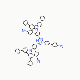 N#Cc1ccc(-c2ccc(-c3nc(-c4ccc(-n5c6ccc(-c7ccccc7)cc6c6cc(-c7ccccc7)ccc65)c(-c5ccc(C#N)cc5)c4)nc(-c4ccc(-n5c6ccc(-c7ccccc7)cc6c6cc(-c7ccccc7)ccc65)c(-c5ccc(C#N)cc5)c4)n3)cc2)cc1